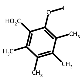 Cc1c(C)c(C)c(C(=O)O)c(OI)c1C